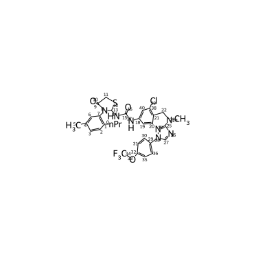 CCCc1ccc(C)cc1N1C(=O)CSC1NC(=O)Nc1ccc(CN(C)c2ncn(-c3ccc(OC(F)(F)F)cc3)n2)c(Cl)c1